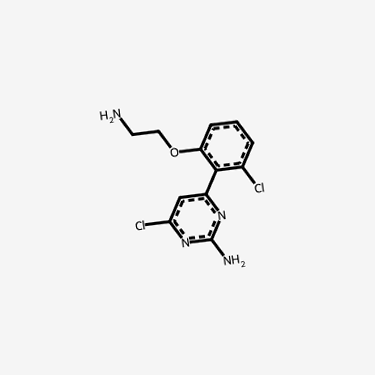 NCCOc1cccc(Cl)c1-c1cc(Cl)nc(N)n1